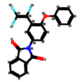 O=C1c2ccccc2C(=O)N1c1ccc(Oc2ccccc2)c(C(F)=C(F)F)c1